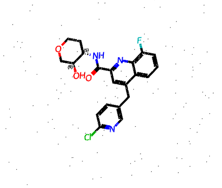 O=C(N[C@H]1CCOC[C@@H]1O)c1cc(Cc2ccc(Cl)nc2)c2cccc(F)c2n1